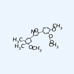 COCOc1cc(-c2cc(-c3cc(C)c(C)c(OC)c3)no2)ccc1OC